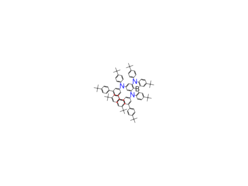 CC(C)(C)c1ccc(-c2cc(-c3ccc(C(C)(C)C)cc3)cc(N(c3ccc(C(C)(C)C)cc3)c3cc4c5c(c3)N(c3cc(-c6ccc(C(C)(C)C)cc6)cc(-c6ccc(C(C)(C)C)cc6)c3)c3ccc(C(C)(C)C)cc3B5c3cc(C(C)(C)C)ccc3N4c3ccc(C(C)(C)C)cc3)c2)cc1